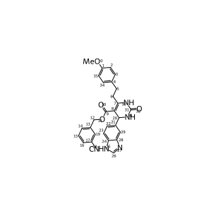 COc1ccc(CCC2=C(C(=O)OCc3cccc(C#N)c3)C(c3ccc4[nH]cnc4c3)NC(=O)N2)cc1